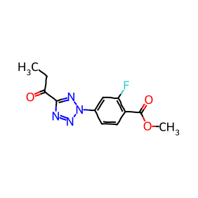 CCC(=O)c1nnn(-c2ccc(C(=O)OC)c(F)c2)n1